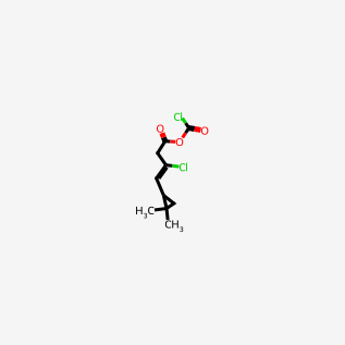 CC1(C)CC1C=C(Cl)CC(=O)OC(=O)Cl